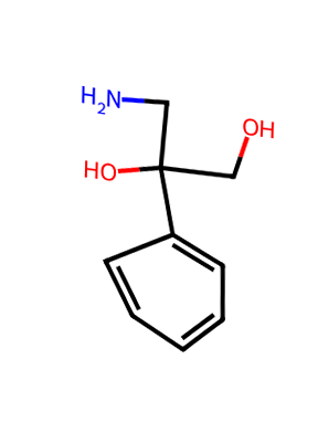 NCC(O)(CO)c1ccccc1